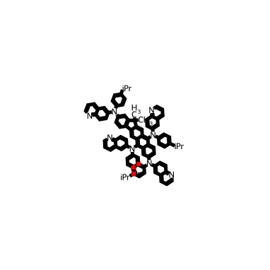 CC(C)c1ccc(N(c2ccc3c(c2)C(C)(C)c2cc4c(N(c5ccc(C(C)C)cc5)c5ccc6ncccc6c5)c5ccc(N(c6ccc(C(C)C)cc6)c6ccc7ncccc7c6)cc5c(N(c5ccc(C(C)C)cc5)c5ccc6ncccc6c5)c4cc2-3)c2ccc3ncccc3c2)cc1